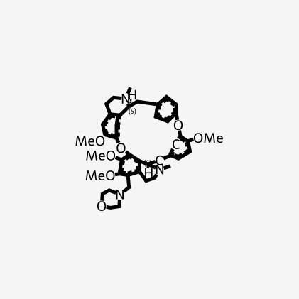 COc1ccc2cc1Oc1ccc(cc1)C[C@H]1c3cc(c(OC)cc3CCN1C)Oc1c(OC)c(OC)c(CN3CCOCC3)c3c1[C@H](C2)N(C)CC3